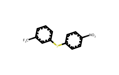 O=[N+]([O-])c1ccc(Sc2cccc(C(F)(F)F)c2)cc1